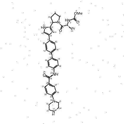 COC(=O)N[C@H](C(=O)N1CCCC1c1nc(-c2ccc(-c3ccc(NC(=O)c4ccc(N5CCNCC5)cc4)cc3)cc2)c[nH]1)C(C)C